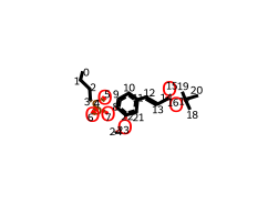 CCCCS(=O)(=O)Oc1ccc(C=CC(=O)OC(C)(C)C)cc1OC